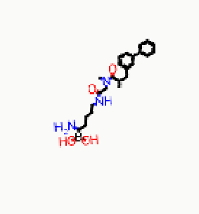 CC(Cc1cccc(-c2ccccc2)c1)C(=O)N(C)CC(=O)NCCCCC(N)B(O)O